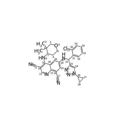 CC1(C)COCCC1Nc1c(C#N)cnc2c(C#N)cc(NC(c3cn(C4CC4)nn3)c3ccccc3Cl)cc12